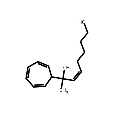 CC(C)(/C=C\CCCCO)C1C=CC=CC=C1